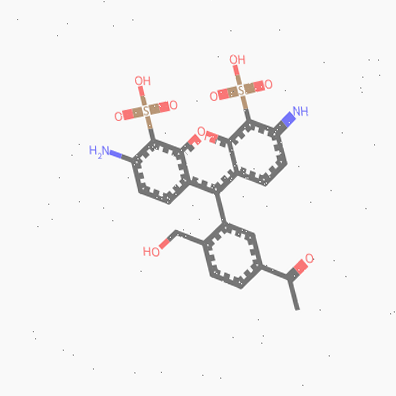 CC(=O)c1ccc(CO)c(-c2c3ccc(=N)c(S(=O)(=O)O)c-3oc3c(S(=O)(=O)O)c(N)ccc23)c1